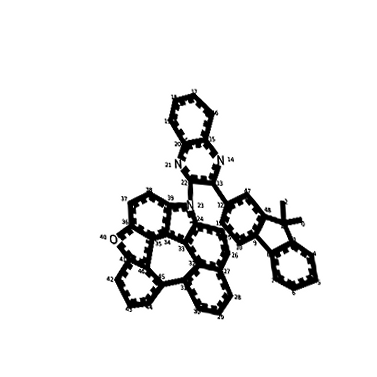 CC1(C)c2ccccc2-c2ccc(-c3nc4ccccc4nc3-n3c4ccc5cccc6c5c4c4c5c(ccc43)oc3cccc-6c35)cc21